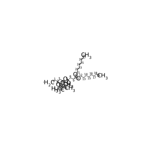 [CH2]CC(CCOC(=O)CCC(OCCCCCCCC)OCCCCCCCC)O[Si](C)(C)C(C)(C)C